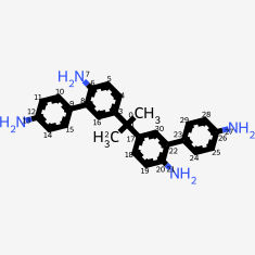 CC(C)(c1ccc(N)c(-c2ccc(N)cc2)c1)c1ccc(N)c(-c2ccc(N)cc2)c1